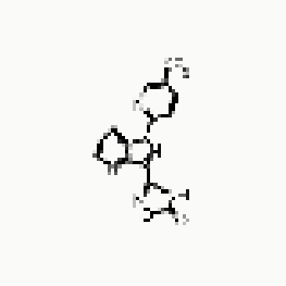 O=c1[nH]c(-c2nn(-c3ccc(C(F)(F)F)cn3)c3cccnc23)no1